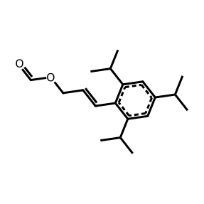 CC(C)c1cc(C(C)C)c(C=CCOC=O)c(C(C)C)c1